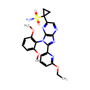 CCOc1cccc(-c2nc3ncc(C4(S(N)(=O)=O)CC4)nc3n2-c2c(OC)cccc2OC)n1